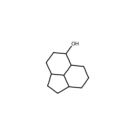 OC1CCC2CCC3CCCC1C32